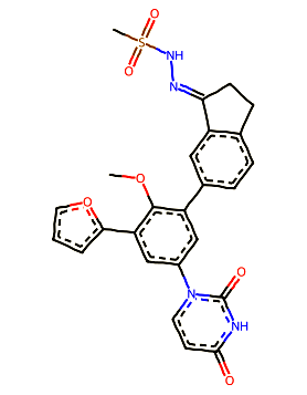 COc1c(-c2ccc3c(c2)C(=NNS(C)(=O)=O)CC3)cc(-n2ccc(=O)[nH]c2=O)cc1-c1ccco1